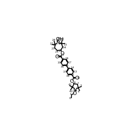 CCON1C(C)(C)CC(OC(=O)c2ccc(-c3ccc(C(=O)OC4CCC(C)(C)N(O)C(C)(C)C4)cc3)cc2)C1(C)C